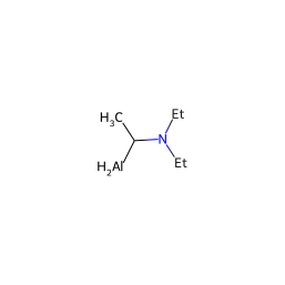 CCN(CC)[CH](C)[AlH2]